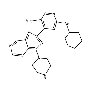 Cc1cnc(NC2CCCCC2)cc1-c1cc2cnccc2c(N2CCNCC2)n1